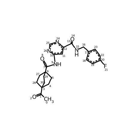 CC(=O)C12CCC(C(=O)Nc3cc(C(=O)NCc4ccc(F)cc4)ncn3)(CC1)CC2